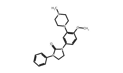 COc1ccc(N2CCN(c3ccccc3)C2=O)cc1N1CCN(C)CC1